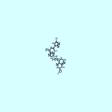 COc1cnc2c(NCc3cnc4c(F)cc(-c5cc(C)ns5)cn34)ccnc2c1